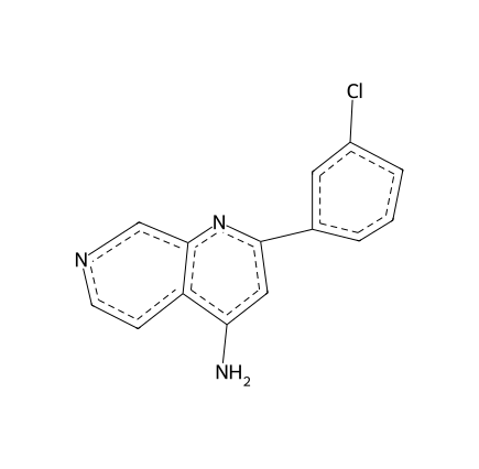 Nc1cc(-c2cccc(Cl)c2)nc2cnccc12